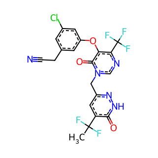 CC(F)(F)c1cc(Cn2cnc(C(F)(F)F)c(Oc3cc(Cl)cc(CC#N)c3)c2=O)n[nH]c1=O